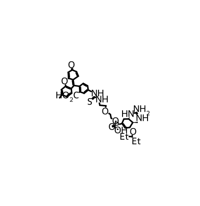 CCC(CC)O[C@@H]1C=C(P(=O)(O)OCCOCCNC(=S)Nc2ccc(-c3c4ccc(=O)cc-4oc4cc(C)ccc34)c(C(=O)O)c2)C[C@H](NC(=N)N)[C@H]1C